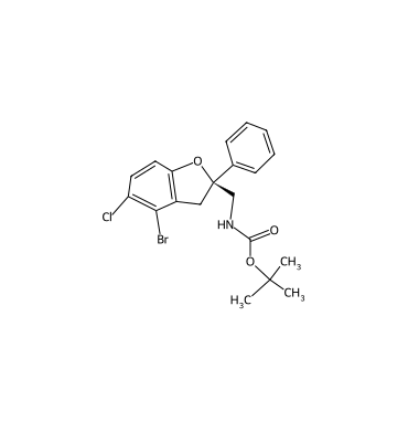 CC(C)(C)OC(=O)NC[C@@]1(c2ccccc2)Cc2c(ccc(Cl)c2Br)O1